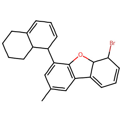 Cc1cc2c(c(C3C=CC=C4CCCCC43)c1)OC1C2=CC=CC1Br